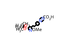 COc1ncc(B2OC(C)(C)C(C)(C)O2)cc1/C=C/c1ccc(N2CCN(C(=O)O)CC2)cc1